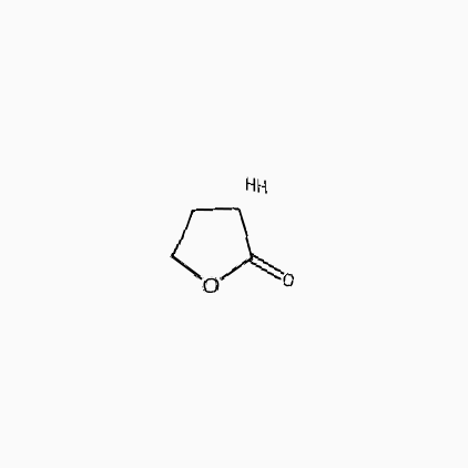 O=C1CCCO1.[HH]